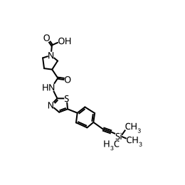 C[Si](C)(C)C#Cc1ccc(-c2cnc(NC(=O)C3CCN(C(=O)O)C3)s2)cc1